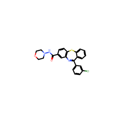 O=C(NN1CCOCC1)c1ccc2c(c1)N=C(c1cccc(Cl)c1)c1ccccc1S2